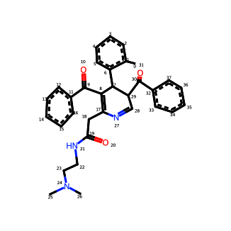 Cc1ccccc1C1C(C(=O)c2ccccc2)=C(CC(=O)NCCN(C)C)N=CC1C(=O)c1ccccc1